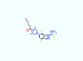 CCCCCC(=O)N1C(C)CN(c2cc(F)c(/C=N\NC(N)=S)cc2F)CC1C